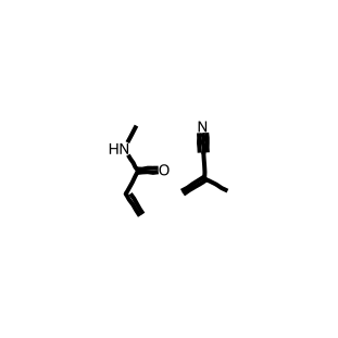 C=C(C)C#N.C=CC(=O)NC